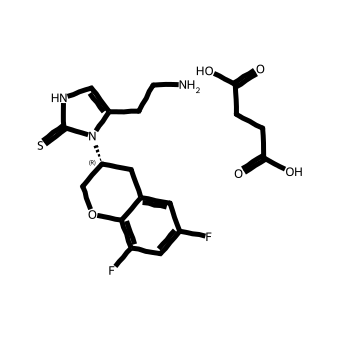 NCCc1c[nH]c(=S)n1[C@H]1COc2c(F)cc(F)cc2C1.O=C(O)CCC(=O)O